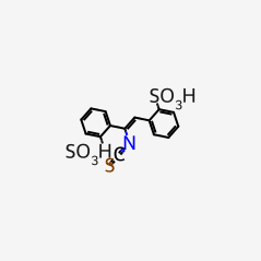 O=S(=O)(O)c1ccccc1C=C(N=C=S)c1ccccc1S(=O)(=O)O